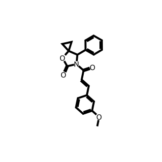 COc1cccc(/C=C/C(=O)N2C(=O)OC3(CC3)C2c2ccccc2)c1